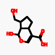 O=C(O)C1=COC(O)C2C(CO)CCC12